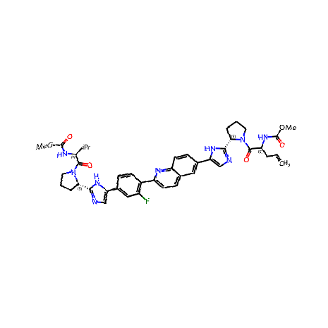 C=CC[C@H](NC(=O)OC)C(=O)N1CCC[C@H]1c1ncc(-c2ccc3nc(-c4ccc(-c5cnc([C@@H]6CCCN6C(=O)[C@@H](NC(=O)OC)C(C)C)[nH]5)cc4F)ccc3c2)[nH]1